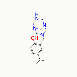 CC(C)c1ccc(O)c(CN2CN3CNCN(C3)C2)c1